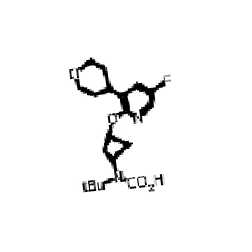 CC(C)(C)N(C(=O)O)C1CC(Oc2ncc(F)cc2C2CCOCC2)C1